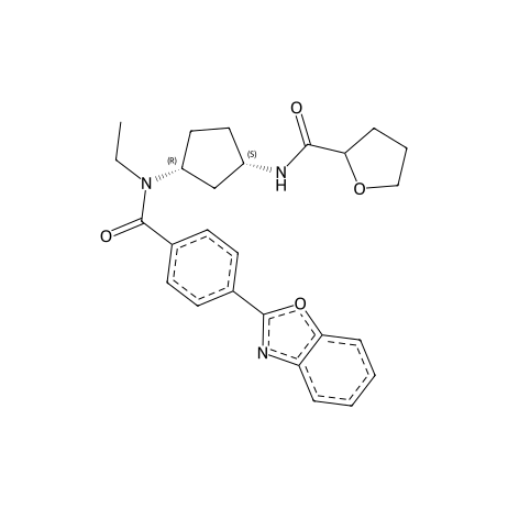 CCN(C(=O)c1ccc(-c2nc3ccccc3o2)cc1)[C@@H]1CC[C@H](NC(=O)C2CCCO2)C1